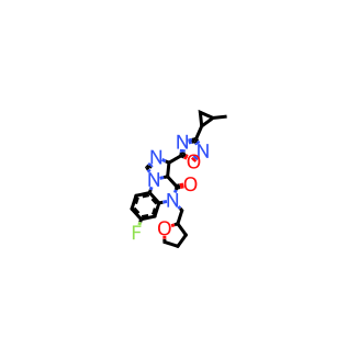 CC1CC1c1noc(C2N=CN3c4ccc(F)cc4N(CC4CCCO4)C(=O)C23)n1